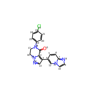 O=C1c2c(-c3ccc4nccn4c3)cnn2CCN1c1ccc(Cl)cc1